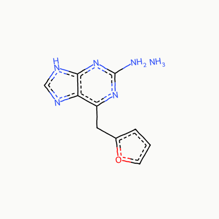 N.Nc1nc(Cc2ccco2)c2nc[nH]c2n1